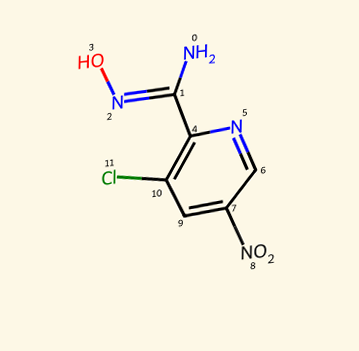 NC(=NO)c1ncc([N+](=O)[O-])cc1Cl